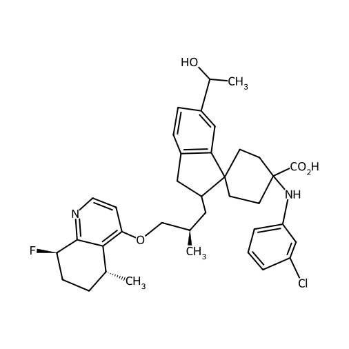 CC(O)c1ccc2c(c1)C1(CCC(Nc3cccc(Cl)c3)(C(=O)O)CC1)C(C[C@@H](C)COc1ccnc3c1[C@H](C)CC[C@H]3F)C2